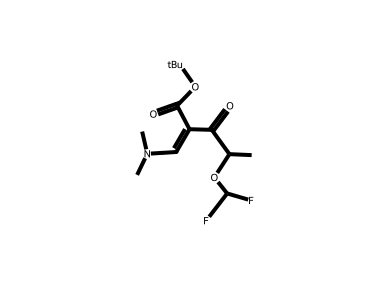 CC(OC(F)F)C(=O)C(=CN(C)C)C(=O)OC(C)(C)C